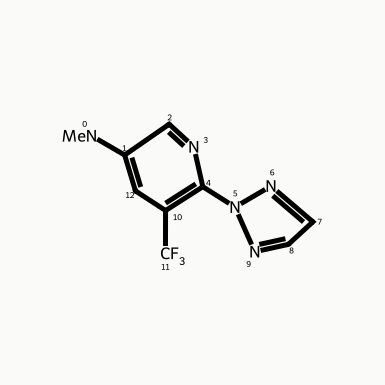 CNc1cnc(-n2nccn2)c(C(F)(F)F)c1